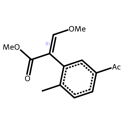 CO/C=C(/C(=O)OC)c1cc(C(C)=O)ccc1C